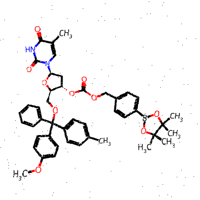 COc1ccc(C(OC[C@H]2O[C@@H](n3cc(C)c(=O)[nH]c3=O)C[C@@H]2OC(=O)OCc2ccc(B3OC(C)(C)C(C)(C)O3)cc2)(c2ccccc2)c2ccc(C)cc2)cc1